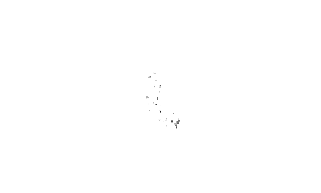 CC(=O)NC(c1nc2cnc(-c3nc[nH]n3)cc2n1[C@@H]1CCC[C@H](NC(=O)c2ncc(Cl)s2)C1)C(C)C